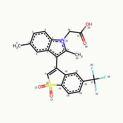 Cc1ccc2c(c1)c(C1=CS(=O)(=O)c3ccc(C(F)(F)F)cc31)c(C)n2CC(=O)O